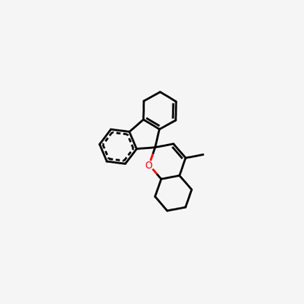 CC1=CC2(OC3CCCCC13)C1=C(CCC=C1)c1ccccc12